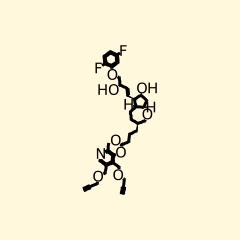 C#CCOCc1cnc(C)c(OC(=O)CCC[C@H]2CC[C@@H]3[C@@H](/C=C/[C@@H](O)COc4cc(F)ccc4F)[C@H](O)C[C@@H]3OC2)c1COCC#C